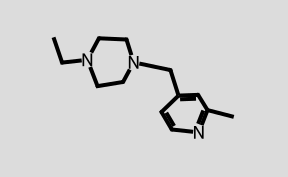 CCN1CCN(Cc2ccnc(C)c2)CC1